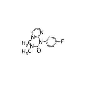 CN(C)C(=O)N(c1ccc(F)cc1)c1ncccn1